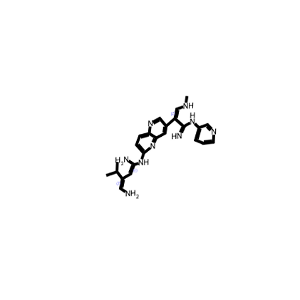 CN/C=C(\C(=N)Nc1cccnc1)c1cnc2ccc(N/C(N)=C/C(=C\N)C(C)C)nc2c1